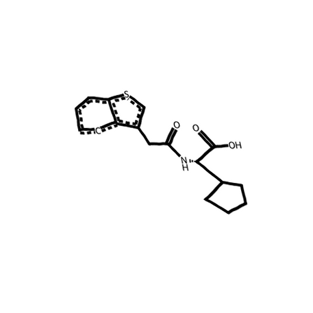 O=C(Cc1csc2ccccc12)N[C@H](C(=O)O)C1CCCC1